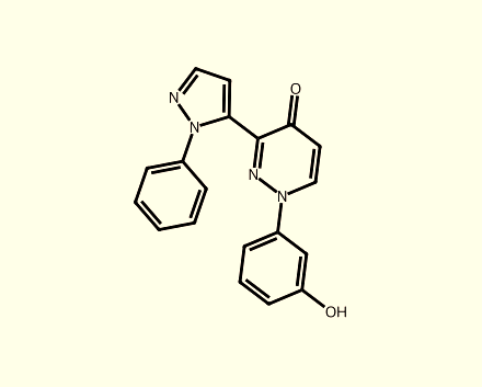 O=c1ccn(-c2cccc(O)c2)nc1-c1ccnn1-c1ccccc1